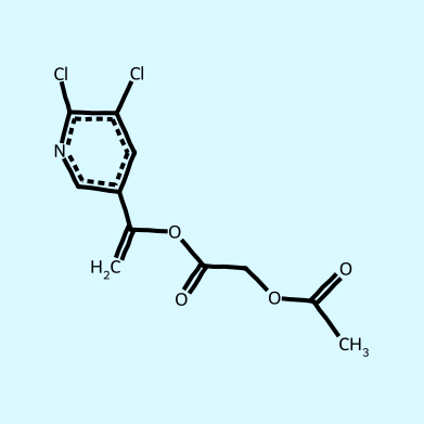 C=C(OC(=O)COC(C)=O)c1cnc(Cl)c(Cl)c1